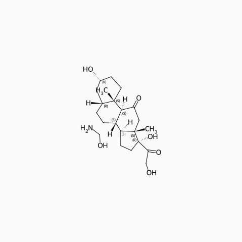 C[C@]12CC[C@@H](O)C[C@H]1CC[C@@H]1[C@@H]2C(=O)C[C@@]2(C)[C@H]1CC[C@]2(O)C(=O)CO.NCO